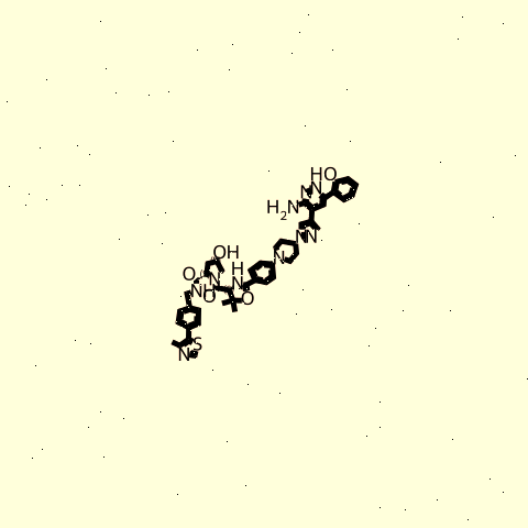 Cc1ncsc1-c1ccc(CNC(=O)[C@@H]2C[C@@H](O)CN2C(=O)[C@@H](NC(=O)c2ccc(N3CCC(n4cc(-c5cc(-c6ccccc6O)nnc5N)cn4)CC3)cc2)C(C)(C)C)cc1